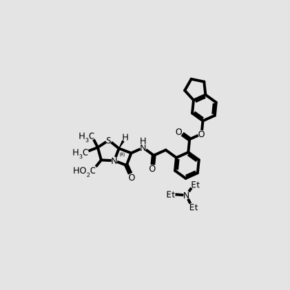 CC1(C)S[C@@H]2C(NC(=O)Cc3ccccc3C(=O)Oc3ccc4c(c3)CCC4)C(=O)N2C1C(=O)O.CCN(CC)CC